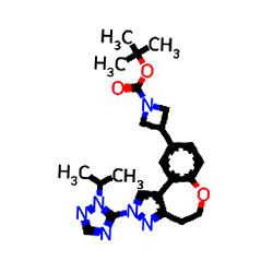 CC(C)n1ncnc1-n1cc2c(n1)CCOc1ccc(C3CN(C(=O)OC(C)(C)C)C3)cc1-2